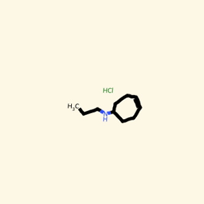 CCCNC1CCC=CCC1.Cl